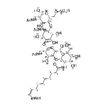 CCCCCC/C=C\CCCCCCCC(=O)N[C@@H]1C(O[C@@H]2C(CO)O[C@@H](O[C@H](C(O)CO)[C@H](O)C(CO[C@@H]3C(COS(=O)(=O)O)O[C@@H](O)[C@@H](NC(C)=O)C3O)NC(C)=O)[C@@H](NC(C)=O)C2O)OC(CO)[C@@H](O)[C@@H]1O